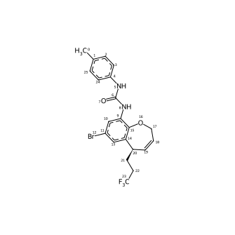 Cc1ccc(NC(=O)Nc2cc(Br)cc3c2OCC=C[C@H]3CCC(F)(F)F)cc1